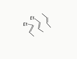 C/C=C/C.C/C=C/CC.C/C=C/CC